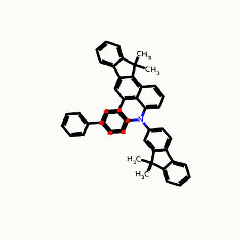 CC1(C)c2ccccc2-c2ccc(N(c3ccc(-c4ccccc4)cc3)c3cccc4c5c(cc(-c6ccccc6)c34)-c3ccccc3C5(C)C)cc21